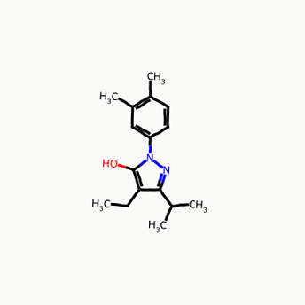 CCc1c(C(C)C)nn(-c2ccc(C)c(C)c2)c1O